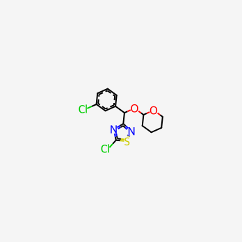 Clc1cccc(C(OC2CCCCO2)c2nsc(Cl)n2)c1